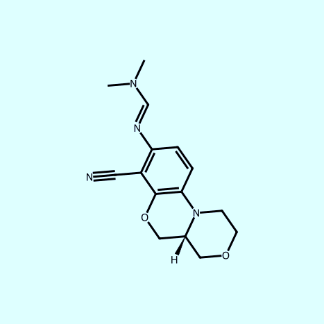 CN(C)/C=N/c1ccc2c(c1C#N)OC[C@H]1COCCN21